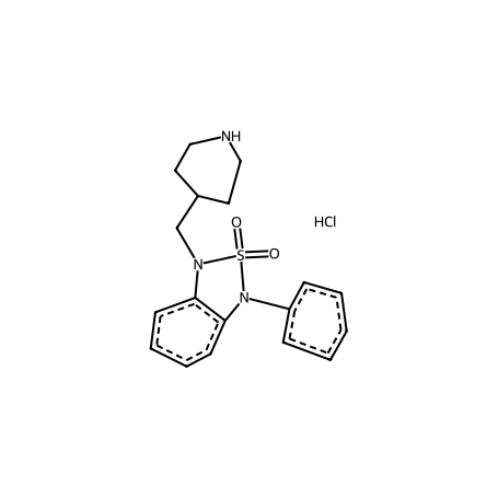 Cl.O=S1(=O)N(CC2CCNCC2)c2ccccc2N1c1ccccc1